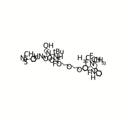 Cc1ncsc1-c1ccc(CNC(=O)[C@@H]2C[C@@H](O)CN2C(=O)C(NC(=O)C(F)(F)OCCCOCCCOc2cc(F)c([C@@H]3c4[nH]c5ccccc5c4C[C@@H](C)N3CC(C)(C)F)c(F)c2)C(C)(C)C)cc1